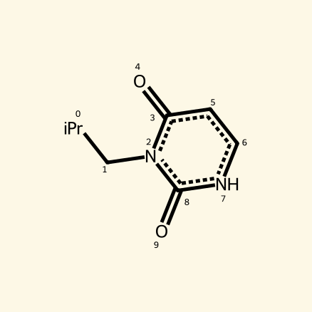 CC(C)Cn1c(=O)cc[nH]c1=O